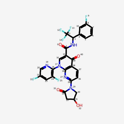 O=C(NC(c1cccc(F)c1)C(F)(F)F)c1cn(-c2ncc(F)cc2F)c2nc(N3CC(O)CC3=O)ccc2c1=O